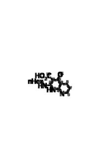 CCCCCCNc1[nH]c2ncccc2c(=O)c1C(=O)O